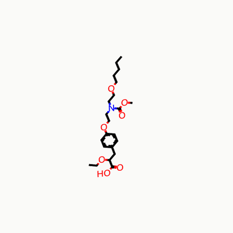 CCCCCOCCN(CCOc1ccc(CC(OCC)C(=O)O)cc1)C(=O)OC